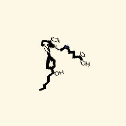 CCCCCC(O)c1ccc(N2CC[C@@H](Cl)[C@@H]2C/C=C\CCCC(=O)O)cc1